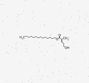 CCCCCCCCCCCCCCOC(=O)C(C)=CCCO